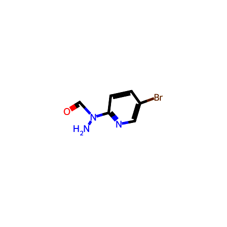 NN(C=O)c1ccc(Br)cn1